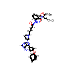 CNC(=O)C(CCC=O)N1C(=O)c2cccc(NC(=O)CCCCCN3CCCC(n4nc(-c5ccc(Oc6ccccc6)cc5)c5c(N)ncnc54)C3)c2C1=O